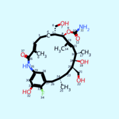 C/C1=C\CC[C@H](CO)[C@@H](OC(N)=O)/C(C)=C/[C@H](C)[C@@H](O)[C@@H](CO)C[C@H](C)Cc2cc(cc(O)c2F)NC1=O